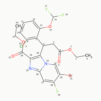 CCOC(=O)CC(c1c(Cl)cccc1OC(F)F)c1c(C(=O)OCC)nc2cc(F)c(Br)cn12